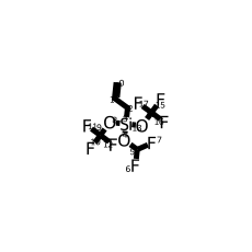 C=CC[Si](OC(F)F)(OC(F)(F)F)OC(F)(F)F